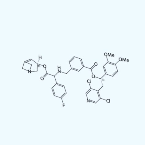 COc1ccc([C@H](Cc2c(Cl)cncc2Cl)OC(=O)c2cccc(CNC(C(=O)O[C@@H]3C=C4CN(C4)C3)c3ccc(F)cc3)c2)cc1OC